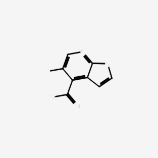 N=C(N)c1c(F)cnc2[nH]ccc12